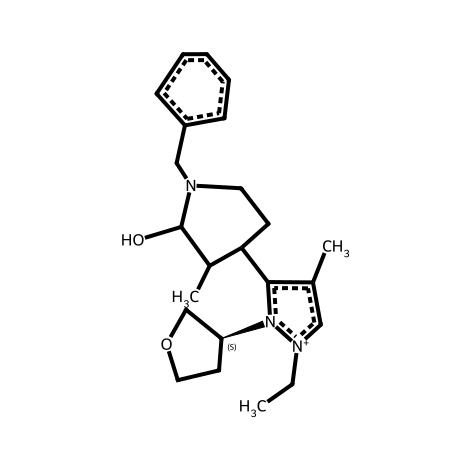 CC[n+]1cc(C)c(C2CCN(Cc3ccccc3)C(O)C2C)n1[C@H]1CCOC1